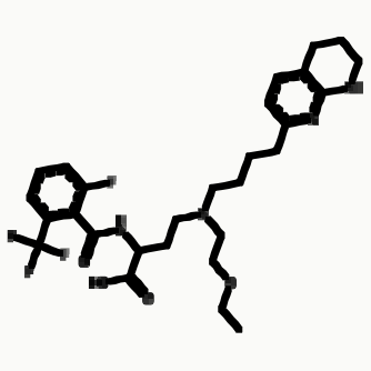 CCOCCN(CCCCc1ccc2c(n1)NCCC2)CCC(NC(=O)c1c(F)cccc1C(F)(F)F)C(=O)O